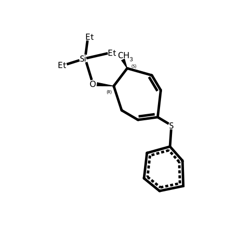 CC[Si](CC)(CC)O[C@@H]1CC=C(Sc2ccccc2)C=C[C@@H]1C